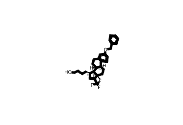 C[C@]12CC[C@@H]3c4ccc(OCc5ccccc5)cc4CC[C@H]3[C@@H]1[C@H](CCCCO)C=C2C(F)(F)F